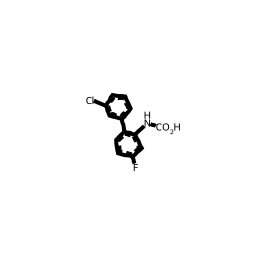 O=C(O)Nc1cc(F)ccc1-c1cccc(Cl)c1